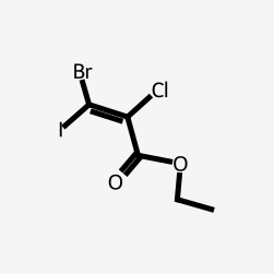 CCOC(=O)/C(Cl)=C(/Br)I